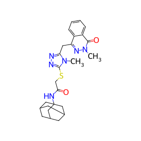 Cn1c(Cc2nn(C)c(=O)c3ccccc23)nnc1SCC(=O)NC12CC3CC(CC(C3)C1)C2